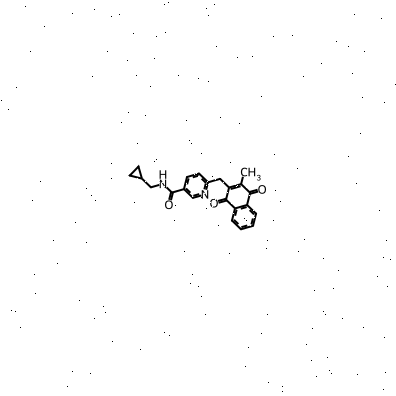 CC1=C(Cc2ccc(C(=O)NCC3CC3)cn2)C(=O)c2ccccc2C1=O